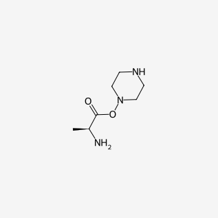 C[C@H](N)C(=O)ON1CCNCC1